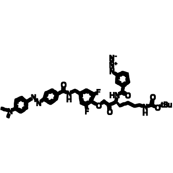 CN(C)c1ccc(/N=N/c2ccc(C(=O)NCc3cc(F)c(OCC(=O)[C@H](CCCCNC(=O)OC(C)(C)C)NC(=O)c4cccc(N=[N+]=[N-])c4)c(F)c3)cc2)cc1